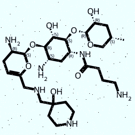 C[C@@H]1CO[C@H](O[C@@H]2[C@@H](O)[C@H](O[C@H]3OC(CNCC4(O)CCNCC4)=CC[C@H]3N)[C@@H](N)C[C@H]2NC(=O)CCCN)[C@H](O)C1